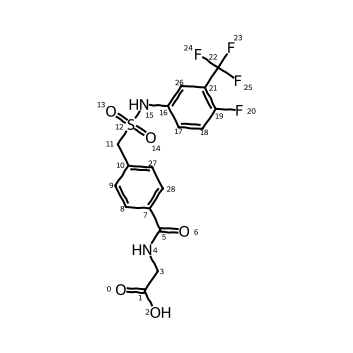 O=C(O)CNC(=O)c1ccc(CS(=O)(=O)Nc2ccc(F)c(C(F)(F)F)c2)cc1